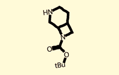 CC(C)(C)OC(=O)N1CC2CCNCC21